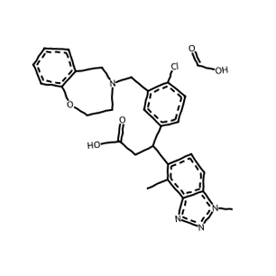 Cc1c(C(CC(=O)O)c2ccc(Cl)c(CN3CCOc4ccccc4C3)c2)ccc2c1nnn2C.O=CO